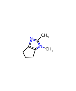 Cc1nc2c(n1C)CCC2